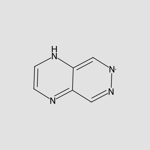 C1=CNC2=C[N]N=CC2=N1